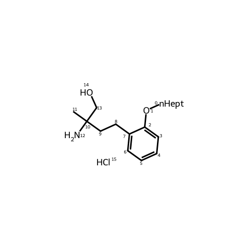 CCCCCCCOc1ccccc1CCC(C)(N)CO.Cl